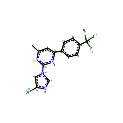 Cc1cc(-c2ccc(C(F)(F)F)cc2)nc(-n2cnc(Br)c2)n1